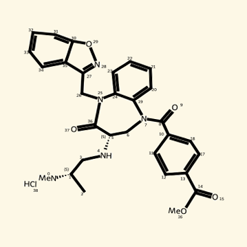 CN[C@@H](C)CN[C@H]1CN(C(=O)c2ccc(C(=O)OC)cc2)c2ccccc2N(Cc2noc3ccccc23)C1=O.Cl